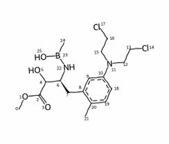 COC(=O)C(O)[C@H](Cc1cc(N(CCCl)CCCl)ccc1C)NB(C)O